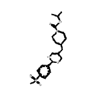 CC(C)OC(=O)N1CCC(CC2COC(c3ccc(S(C)(=O)=O)cc3)OC2)CC1